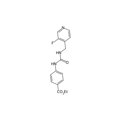 CCOC(=O)c1ccc(NC(=O)NCc2ccncc2F)cc1